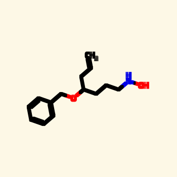 C=CCC(CCCNO)OCc1ccccc1